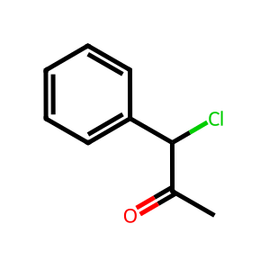 CC(=O)C(Cl)c1ccccc1